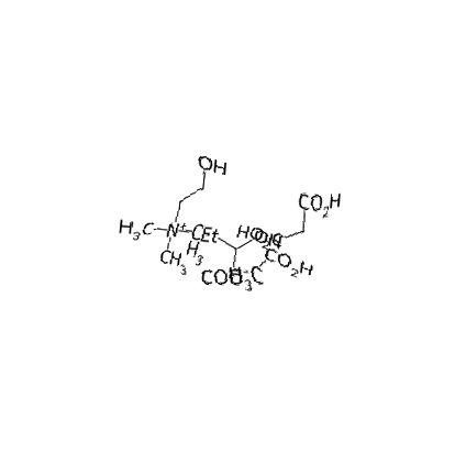 CC(=O)O.CCC(O)C(=O)[O-].C[N+](C)(C)CCO.O=C(O)CC(=O)O